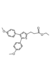 CCOC(=O)CCc1cc(-c2ccc(OC)cc2)c(-c2ccc(OC)cc2)s1